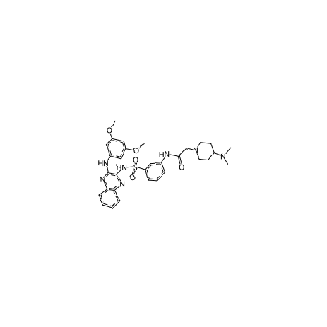 COc1cc(Nc2nc3ccccc3nc2NS(=O)(=O)c2cccc(NC(=O)CN3CCC(N(C)C)CC3)c2)cc(OC)c1